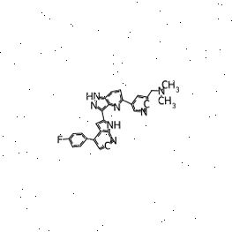 CN(C)Cc1cncc(-c2ccc3[nH]nc(-c4cc5c(-c6ccc(F)cc6)ccnc5[nH]4)c3n2)c1